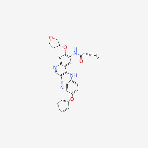 C=CC(=O)Nc1cc2c(Nc3ccc(Oc4ccccc4)cc3)c(C#N)cnc2cc1O[C@@H]1CCOC1